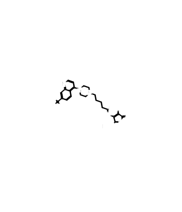 CC1=C(OCCCCCN2CCN(c3ccnc4cc(C(F)(F)F)ccc34)CC2)C(C)SC1=O